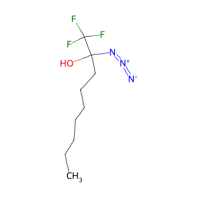 CCCCCCCC(O)(N=[N+]=[N-])C(F)(F)F